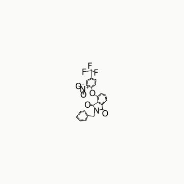 O=C1c2cccc(Oc3ccc(C(F)(F)F)cc3[N+](=O)[O-])c2C(=O)N1Cc1ccccc1